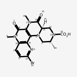 C[C@@H]1CN2c3c(c(=O)n(C)c4ccc(Br)nc34)N(C)C(=O)[C@H]2CN1C(=O)O